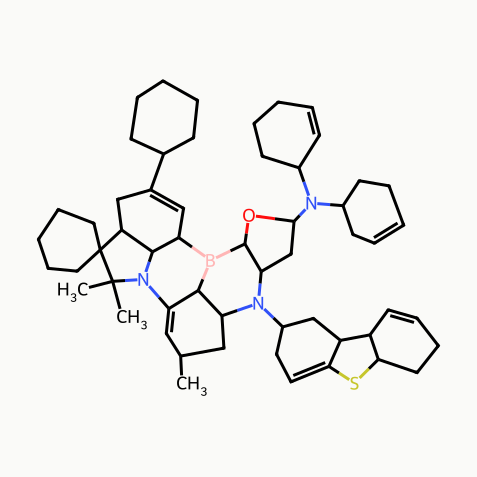 CC1C=C2C3B(C4C=C(C5CCCCC5)CC5C4N2C(C)(C)C52CCCCC2)C2OC(N(C4C=CCCC4)C4CC=CCC4)CC2N(C2CC=C4SC5CCC=CC5C4C2)C3C1